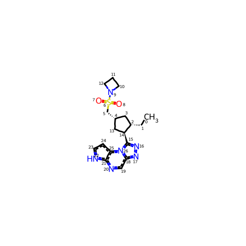 CC[C@H]1C[C@@H](CS(=O)(=O)N2CCC2)C[C@@H]1c1nnc2cnc3[nH]ccc3n12